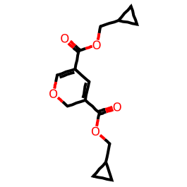 O=C(OCC1CC1)C1=COCC(C(=O)OCC2CC2)=C1